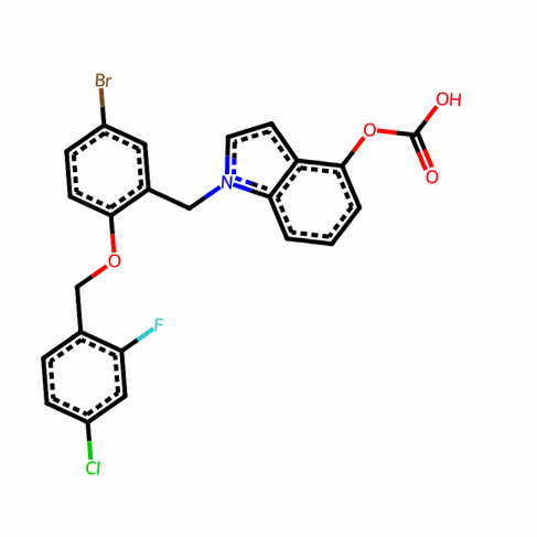 O=C(O)Oc1cccc2c1ccn2Cc1cc(Br)ccc1OCc1ccc(Cl)cc1F